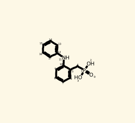 O=P(O)(O)Cc1ccccc1Nc1ccccc1